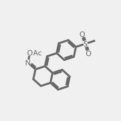 CC(=O)ON=C1CCc2ccccc2C1=Cc1ccc(S(C)(=O)=O)cc1